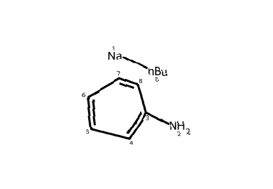 CCC[CH2][Na].Nc1ccccc1